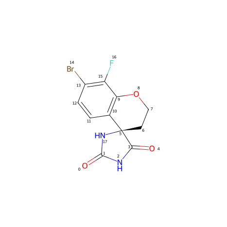 O=C1NC(=O)[C@]2(CCOc3c2ccc(Br)c3F)N1